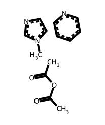 CC(=O)OC(C)=O.Cn1ccnc1.c1ccncc1